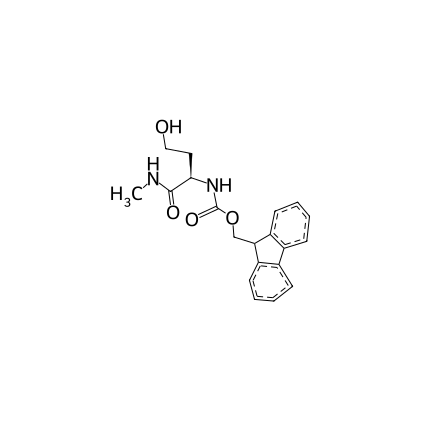 CNC(=O)[C@@H](CCO)NC(=O)OCC1c2ccccc2-c2ccccc21